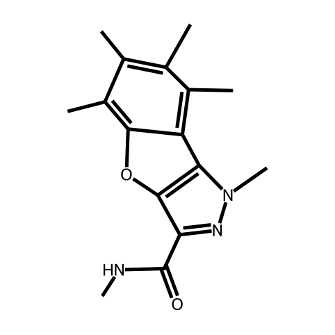 CNC(=O)c1nn(C)c2c1oc1c(C)c(C)c(C)c(C)c12